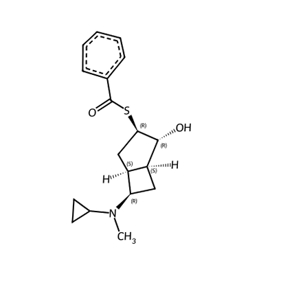 CN(C1CC1)[C@@H]1C[C@@H]2[C@@H](O)[C@H](SC(=O)c3ccccc3)C[C@@H]21